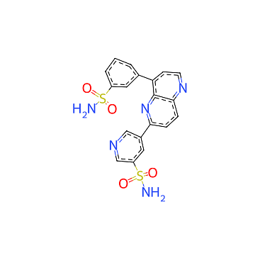 NS(=O)(=O)c1cncc(-c2ccc3nccc(-c4cccc(S(N)(=O)=O)c4)c3n2)c1